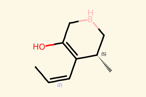 C/C=C\C1=C(O)CBC[C@@H]1C